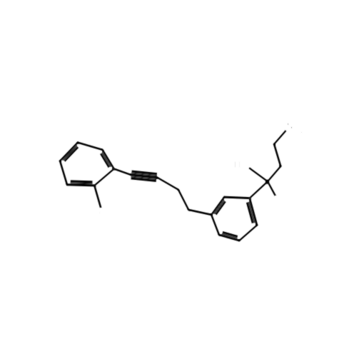 NCCC(O)(I)c1cccc(CCC#Cc2ccccc2O)c1